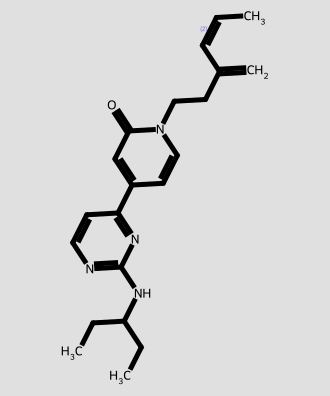 C=C(/C=C\C)CCn1ccc(-c2ccnc(NC(CC)CC)n2)cc1=O